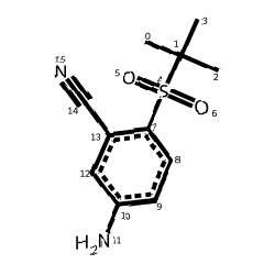 CC(C)(C)S(=O)(=O)c1ccc(N)cc1C#N